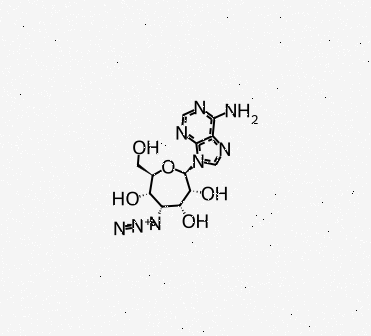 [N-]=[N+]=N[C@H]1[C@@H](O)[C@@H](O)[C@H](n2cnc3c(N)ncnc32)O[C@H](CO)[C@H]1O